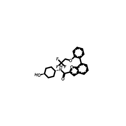 O=C(N[C@H]1CC[C@H](O)CC1)c1cc2cccc(-c3ccccc3OCC(F)(F)F)c2o1